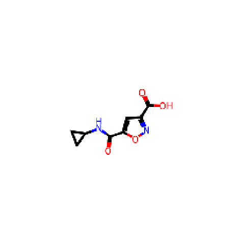 O=C(O)c1cc(C(=O)NC2CC2)on1